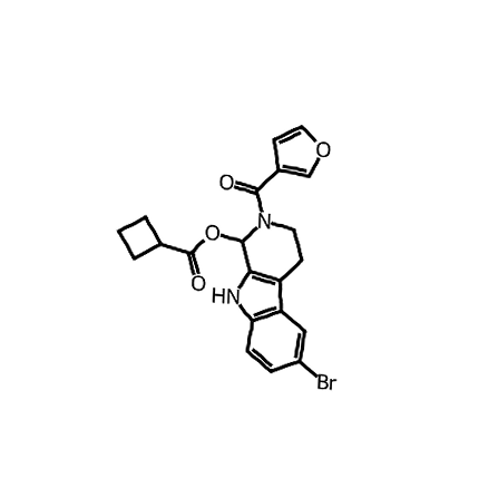 O=C(OC1c2[nH]c3ccc(Br)cc3c2CCN1C(=O)c1ccoc1)C1CCC1